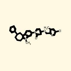 Cc1cc(Cl)cnc1COc1ccn(-c2ccc3c4c(n(C)c3c2)CCCC(c2ccccc2)C4)c(=O)c1